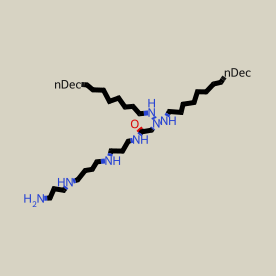 CCCCCCCCCCCCCCCCCCNN(CC(=O)NCCCNCCCCNCCCN)NCCCCCCCCCCCCCCCCCC